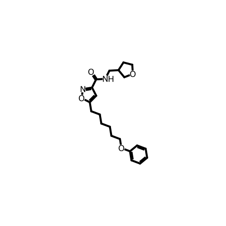 O=C(NCC1CCOC1)c1cc(CCCCCCOc2ccccc2)on1